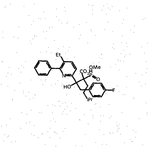 CCc1ccc(C(O)(Cc2ccc(F)cc2)C(CCC(C)C)(C(=O)O)[PH](=O)OC)nc1-c1ccccc1